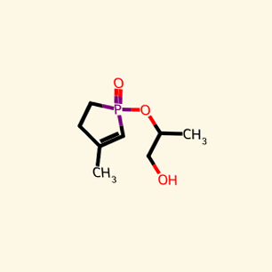 CC1=CP(=O)(OC(C)CO)CC1